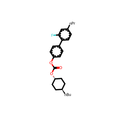 CCCC[C@H]1CC[C@H](OC(=O)Oc2ccc(-c3ccc(CCC)cc3F)cc2)CC1